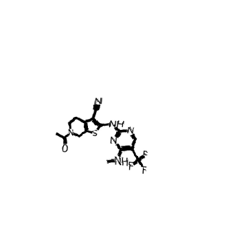 CNc1nc(Nc2sc3c(c2C#N)CCN(C(C)=O)C3)ncc1C(F)(F)F